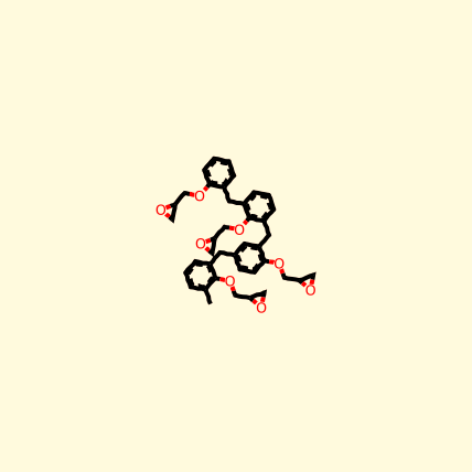 Cc1cccc(Cc2ccc(OCC3CO3)c(Cc3cccc(Cc4ccccc4OCC4CO4)c3OCC3CO3)c2)c1OCC1CO1